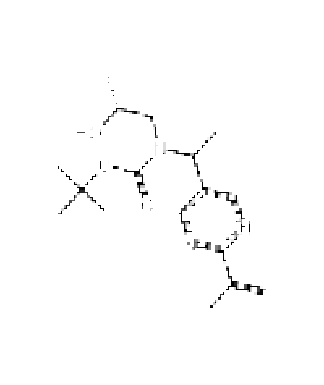 C=C(C)c1ncc(C(C)N(C[C@@H](C)O)C(=O)OC(C)(C)C)cn1